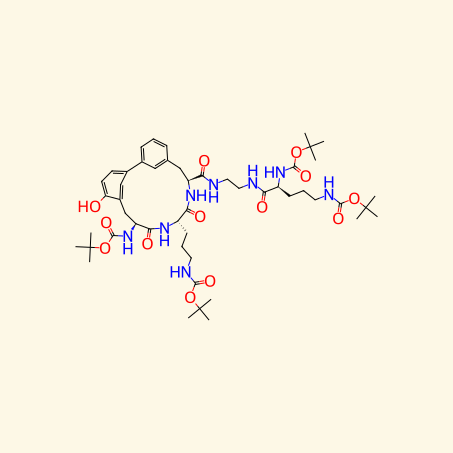 CC(C)(C)OC(=O)NCCC[C@H](NC(=O)OC(C)(C)C)C(=O)NCCNC(=O)[C@@H]1Cc2cccc(c2)-c2ccc(O)c(c2)C[C@H](NC(=O)OC(C)(C)C)C(=O)N[C@@H](CCCNC(=O)OC(C)(C)C)C(=O)N1